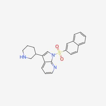 O=S(=O)(c1ccc2ccccc2c1)n1cc(C2CCCNC2)c2cccnc21